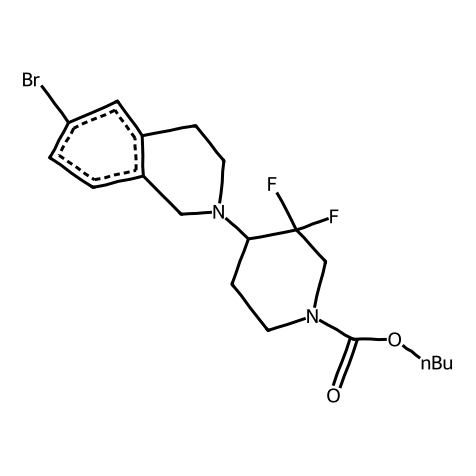 CCCCOC(=O)N1CCC(N2CCc3cc(Br)ccc3C2)C(F)(F)C1